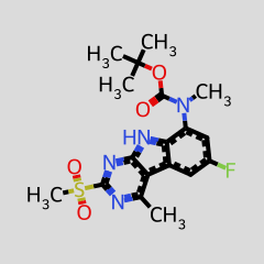 Cc1nc(S(C)(=O)=O)nc2[nH]c3c(N(C)C(=O)OC(C)(C)C)cc(F)cc3c12